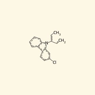 C=C/C(=C\C)n1c2ccccc2c2ccc(Cl)cc21